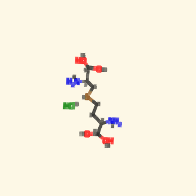 Cl.NC(CCSCC(N)C(=O)O)C(=O)O